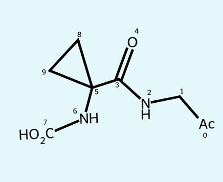 CC(=O)CNC(=O)C1(NC(=O)O)CC1